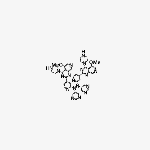 COc1cncc2nc(-c3ccnc(N(c4cncnc4)N(c4cncnc4)c4cc(-c5nc(N6CCNCC6)c6c(OC)cncc6n5)ccn4)c3)nc(N3CCNCC3)c12